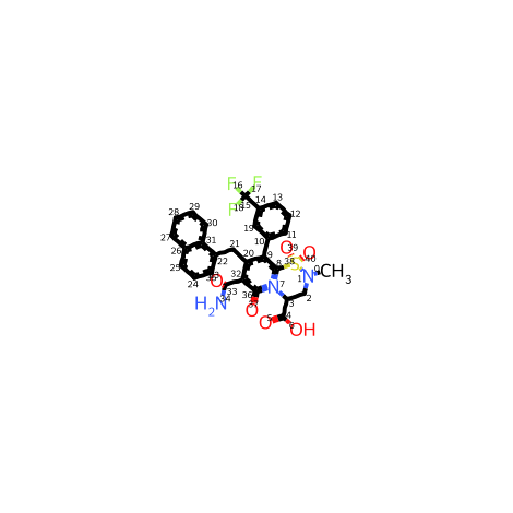 CN1CC(C(=O)O)n2c(c(-c3cccc(C(F)(F)F)c3)c(Cc3cccc4ccccc34)c(C(N)=O)c2=O)S1(=O)=O